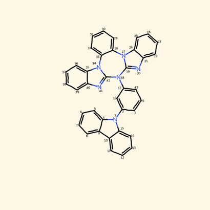 c1cc(-n2c3ccccc3c3ccccc32)cc(-n2c3nc4ccccc4n3c3ccccc3n3c4ccccc4nc23)c1